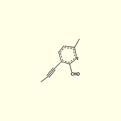 CC#Cc1ccc(C)nc1C=O